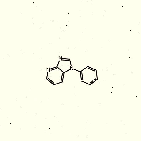 c1ccc(-n2cnc3ncccc32)cc1